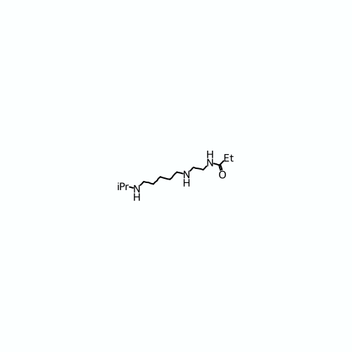 CCC(=O)NCCNCCCCCNC(C)C